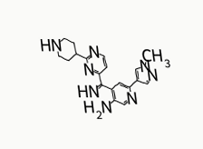 Cn1cc(-c2cc(C(=N)c3ccnc(C4CCNCC4)n3)c(N)cn2)cn1